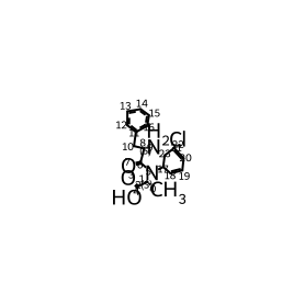 C[C@@H](C(=O)O)N(C(=O)[C@@H](N)Cc1ccccc1)C1C=CC=C(Cl)C1